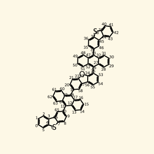 c1ccc2c(c1)sc1ccc(-c3c4ccccc4c(-c4ccc5oc6c(-c7c8ccccc8c(-c8ccc9sc%10ccccc%10c9c8)c8ccccc78)cccc6c5c4)c4ccccc34)cc12